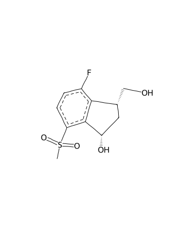 CS(=O)(=O)c1ccc(F)c2c1[C@@H](O)C[C@H]2CO